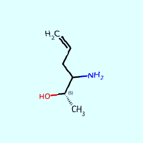 C=CCC(N)[C@H](C)O